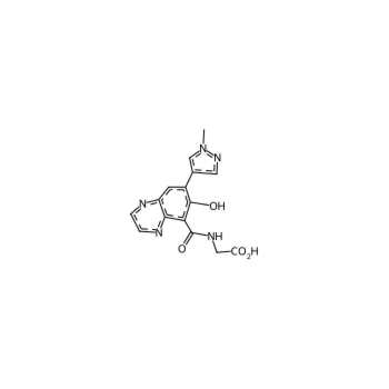 Cn1cc(-c2cc3nccnc3c(C(=O)NCC(=O)O)c2O)cn1